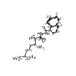 CC(C)SCC[C@@H](N)C(O)C(=O)NNC(=O)c1cccc2ccccc12